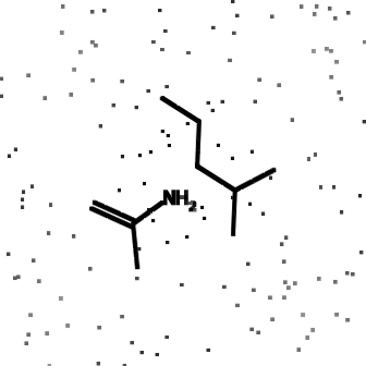 C=C(C)N.CCCC(C)C